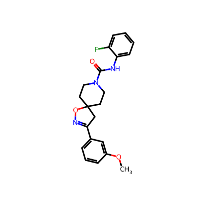 COc1cccc(C2=NOC3(CCN(C(=O)Nc4ccccc4F)CC3)C2)c1